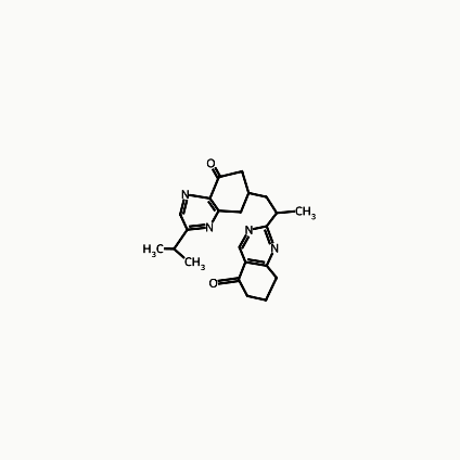 CC(C)c1cnc2c(n1)CC(CC(C)c1ncc3c(n1)CCCC3=O)CC2=O